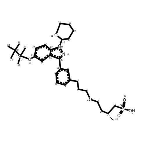 C[C@H](CCOCCCc1cccc(-c2nn(C3CCCCO3)c3ccc(O[Si](C)(C)C(C)(C)C)cc23)c1)CS(=O)(=O)O